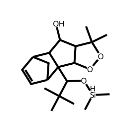 C[SiH](C)OC(C(C)(C)C)C12C3C=CC(C3)C1C(O)C1C2OOC1(C)C